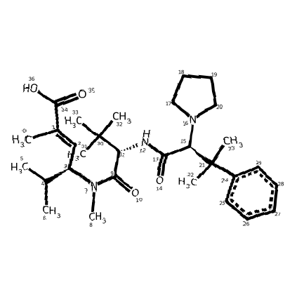 C/C(=C\[C@H](C(C)C)N(C)C(=O)[C@@H](NC(=O)[C@@H](N1CCCC1)C(C)(C)c1ccccc1)C(C)(C)C)C(=O)O